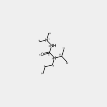 CCCN(C(=O)NN(C)C)C(C)C